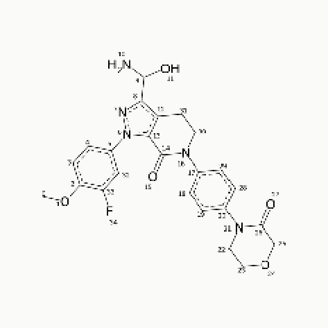 COc1ccc(-n2nc(C(N)O)c3c2C(=O)N(c2ccc(N4CCOCC4=O)cc2)CC3)cc1F